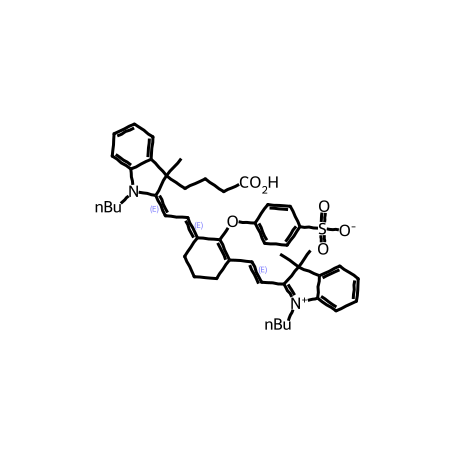 CCCCN1/C(=C/C=C2\CCCC(/C=C/C3=[N+](CCCC)c4ccccc4C3(C)C)=C2Oc2ccc(S(=O)(=O)[O-])cc2)C(C)(CCCC(=O)O)c2ccccc21